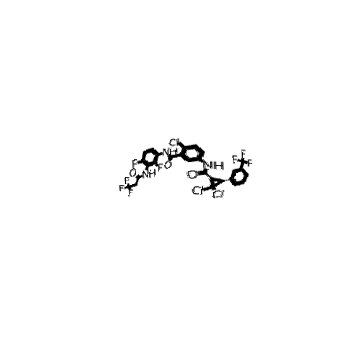 O=C(CC(F)(F)F)Nc1c(F)ccc(NC(=O)c2cc(NC(=O)[C@H]3[C@H](c4cccc(C(F)(F)F)c4)C3(Cl)Cl)ccc2Cl)c1F